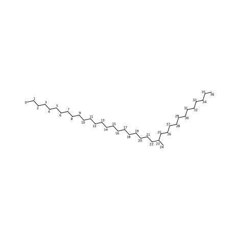 CCCCCCCCCCCCCCCCCCCCCCCC(C)CCCCCCCCCCCC